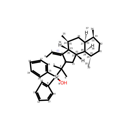 C/C=C1\C(C(C)(C)[Si](O)(c2ccccc2)c2ccccc2)C[C@@H]2[C@H]1[C@@H](C)C[C@@H]1[C@H]2[C@@H](C)CC[C@@H]1C